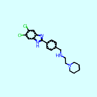 Clc1cc2nc(-c3ccc(CNCCN4CCCCC4)cc3)[nH]c2cc1Cl